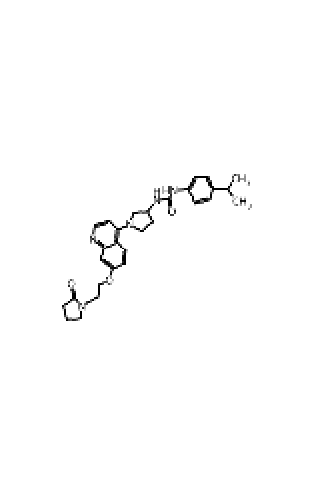 CC(C)c1ccc(NC(=O)NC2CCN(c3ccnc4cc(OCCN5CCCC5=O)ccc34)C2)cc1